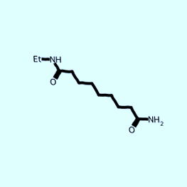 CCNC(=O)CCCCCCCC(N)=O